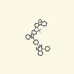 CC1(C)c2cc3c(cc2-c2ccc4oc5ccccc5c4c21)c1ccccc1n3-c1ccc(-c2nc(-c3ccccc3)c3ccccc3n2)cc1